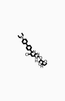 CCN(CC)c1ccc(-c2ccc(-c3nc4nc(OC5CO[C@@H]6CCOC56)[nH]c4cc3Cl)cc2)cc1